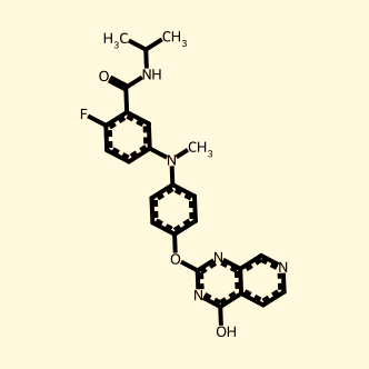 CC(C)NC(=O)c1cc(N(C)c2ccc(Oc3nc(O)c4ccncc4n3)cc2)ccc1F